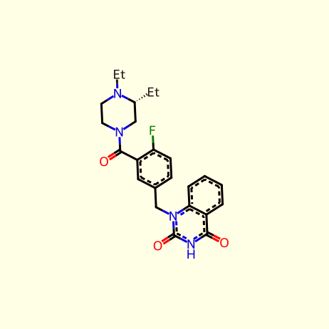 CC[C@@H]1CN(C(=O)c2cc(Cn3c(=O)[nH]c(=O)c4ccccc43)ccc2F)CCN1CC